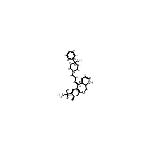 C=C/C(=C\C1=C(C)OCC2NC=CC=C2/C1=C\CCN1CCC(O)(c2ccccc2)CC1)C(C)(C)N